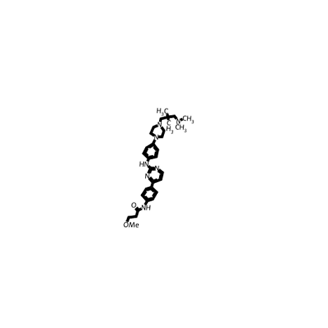 COCCC(=O)Nc1ccc(-c2ccnc(Nc3ccc(N4CCN(CC(C)(C)CN(C)C)CC4)cc3)n2)cc1